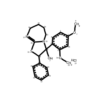 COc1ccc(C2(O)C(c3ccccc3)SC3=NCCCCN32)c(OC)c1.Cl